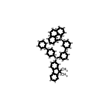 CC1(C)c2ccccc2-c2ccc(N(c3ccc(-c4ccccc4)cc3)c3cccc(-c4cccc(-n5c6cccc7ccc8cccc5c8c76)c4)c3)cc21